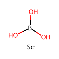 OB(O)O.[Sc]